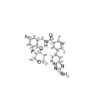 Cc1nc(C)c(-c2ccn3nc(N)nc3c2)cc1C(=O)NCc1cc(F)cc(F)c1OC1CC(C)OC(C)C1